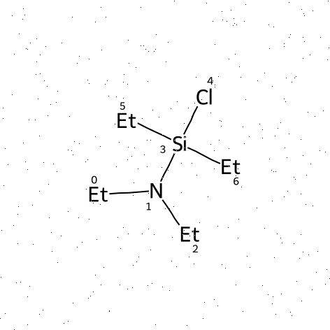 CCN(CC)[Si](Cl)(CC)CC